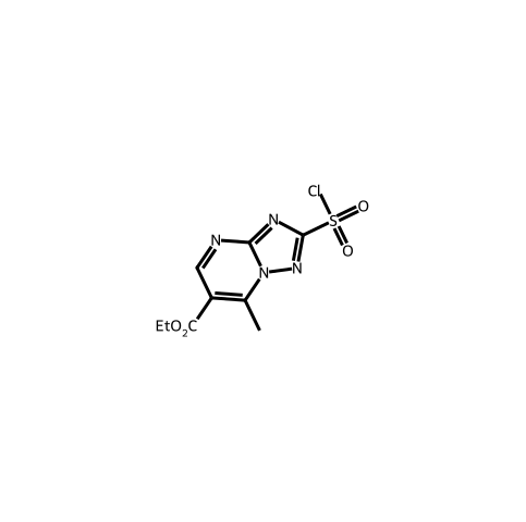 CCOC(=O)c1cnc2nc(S(=O)(=O)Cl)nn2c1C